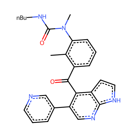 CCCCNC(=O)N(C)c1cccc(C(=O)c2c(-c3cccnc3)cnc3[nH]ccc23)c1C